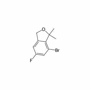 CC1(C)OCc2cc(F)cc(Br)c21